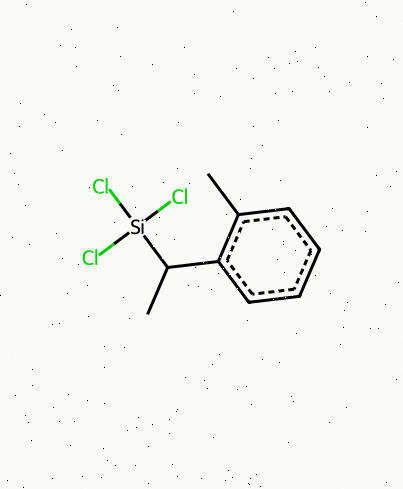 Cc1ccccc1C(C)[Si](Cl)(Cl)Cl